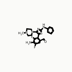 CN1CCN(c2nc(Nc3ccccc3)sc2-c2c(C=O)cc(F)c(N)c2F)CC1